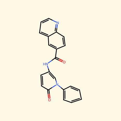 O=C(Nc1ccc(=O)n(-c2ccccc2)c1)c1ccc2ncccc2c1